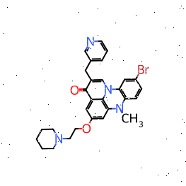 CN1c2ccc(Br)cc2-n2cc(Cc3cccnc3)c(=O)c3cc(OCCN4CCCCC4)cc1c32